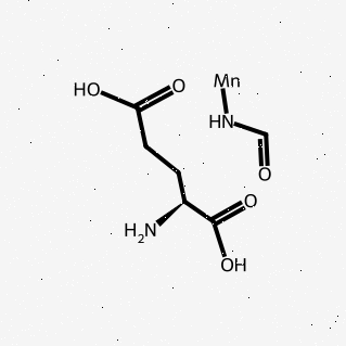 N[C@@H](CCC(=O)O)C(=O)O.O=C[NH][Mn]